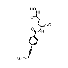 COCC#Cc1ccc(C(=O)NC(=C=O)CCC(=O)NO)cc1